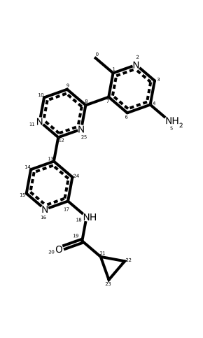 Cc1ncc(N)cc1-c1ccnc(-c2ccnc(NC(=O)C3CC3)c2)n1